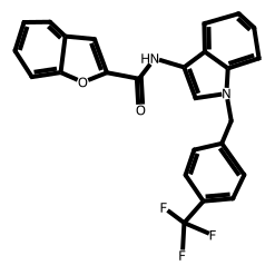 O=C(Nc1cn(Cc2ccc(C(F)(F)F)cc2)c2ccccc12)c1cc2ccccc2o1